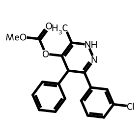 COC(=O)OC1=C(C)NN=C(c2cccc(Cl)c2)C1c1ccccc1